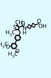 COc1cc(OC)cc(-c2ccc(Cc3c(C)sc(C)c3C(=O)NC3CC4(C3)CC(C(=O)O)C4)cc2)c1